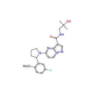 COc1ccc(F)cc1C1CCCN1c1ccn2ncc(C(=O)NCC(C)(C)O)c2n1